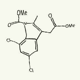 COC(=O)Cc1c(C)n(C(=O)OC)c2c(Cl)cc(Cl)cc12